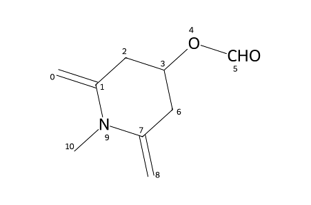 C=C1CC(OC=O)CC(=C)N1C